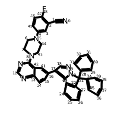 N#Cc1cc(N2CCN(c3ncnc4ccc(-c5cnn(C(c6ccccc6)(c6ccccc6)c6ccccc6)c5)cc34)CC2)ccc1F